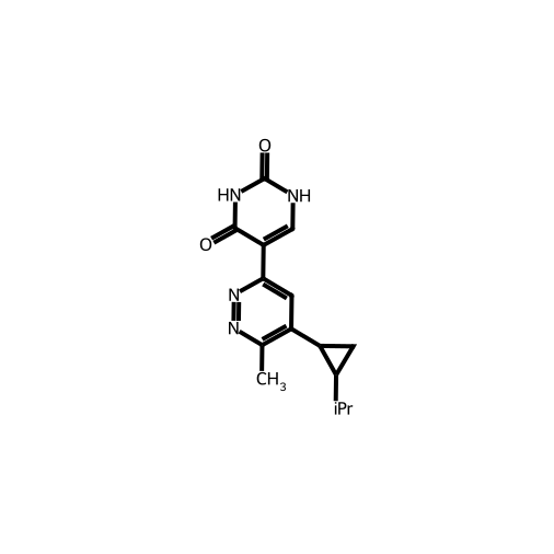 Cc1nnc(-c2c[nH]c(=O)[nH]c2=O)cc1C1CC1C(C)C